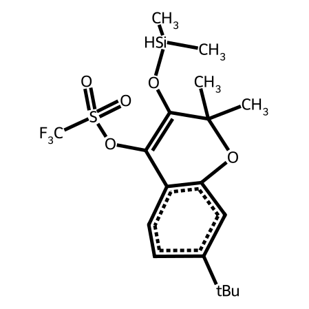 C[SiH](C)OC1=C(OS(=O)(=O)C(F)(F)F)c2ccc(C(C)(C)C)cc2OC1(C)C